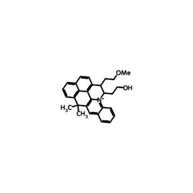 COCCC1c2ccc3cccc4c3c2-c2c(cc3ccccc3[n+]2C1CCO)C4(C)C